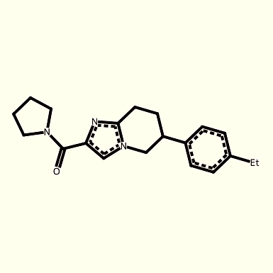 CCc1ccc(C2CCc3nc(C(=O)N4CCCC4)cn3C2)cc1